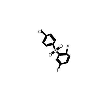 O=S(=O)(c1ccc(Cl)cc1)c1[c]c(F)ccc1F